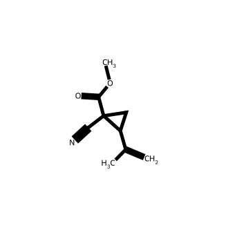 C=C(C)C1CC1(C#N)C(=O)OC